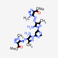 COC(=O)c1nnn(C)c1/N=N/c1c(C)nn(-c2cc(-n3nc(C)c(/N=N/c4c(C(=O)OC)nnn4C)c3N)ncn2)c1N